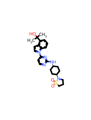 CC(C)(O)c1cccc2c1ccn2-c1ccnc(N[C@H]2CC[C@H](N3CCCS3(=O)=O)CC2)n1